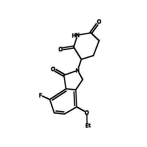 CCOc1ccc(F)c2c1CN(C1CCC(=O)NC1=O)C2=O